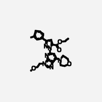 CCOC(=O)c1cc(-c2cccc(C)c2)nn1-c1cc(N2CCOCC2)c2ncn(CCOC)c2n1